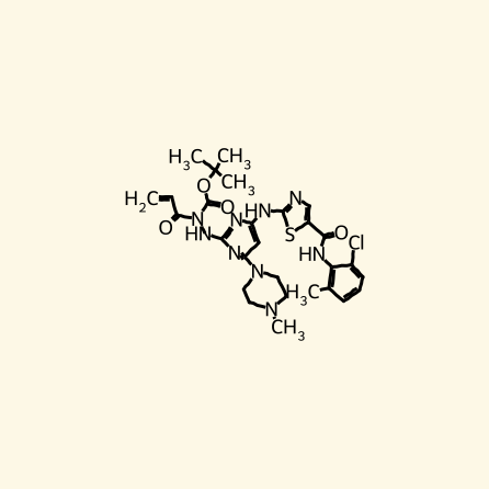 C=CC(=O)N(Nc1nc(Nc2ncc(C(=O)Nc3c(C)cccc3Cl)s2)cc(N2CCN(C)CC2)n1)C(=O)OC(C)(C)C